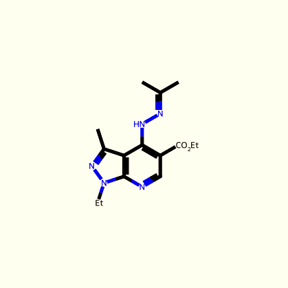 CCOC(=O)c1cnc2c(c(C)nn2CC)c1NN=C(C)C